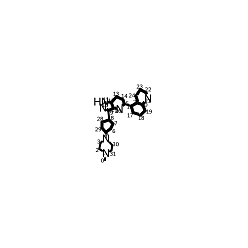 CN1CCN(c2ccc(-c3n[nH]c4ccc(-c5cccc6ncccc56)nc34)cc2)CC1